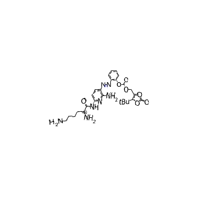 CC(C)(C)c1oc(=O)oc1COC(=O)Oc1ccccc1/N=N/c1ccc(NC(=O)[C@@H](N)CCCCN)nc1N